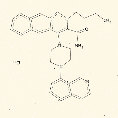 CCCCc1cc2cc3ccccc3cc2c(N2CCN(c3cccc4ccncc34)CC2)c1C(N)=O.Cl